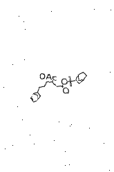 CC(=O)OC(CCCC1CC2C=CC1C2)CC(=O)OC(C)(C)C1CC2CCC1C2